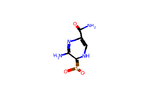 NC(=O)c1c[nH]c(=S(=O)=O)c(N)n1